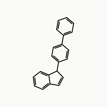 C1=CC(c2ccc(-c3ccccc3)cc2)c2ccccc21